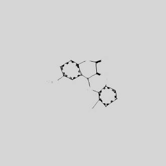 COc1ccc2c(c1)C(Oc1c(Cl)cccc1Cl)C(=S)C(=O)O2